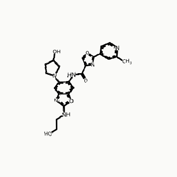 Cc1cc(-c2nc(C(=O)Nc3cc4oc(NCCO)nc4cc3N3CCC(O)C3)co2)ccn1